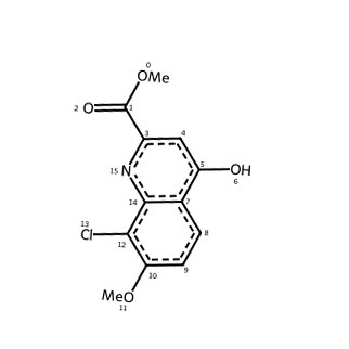 COC(=O)c1cc(O)c2ccc(OC)c(Cl)c2n1